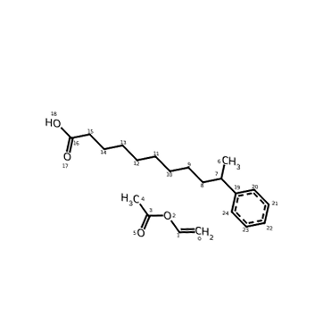 C=COC(C)=O.CC(CCCCCCCCC(=O)O)c1ccccc1